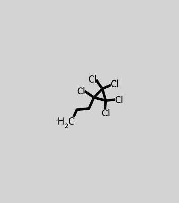 [CH2]CCC1(Cl)C(Cl)(Cl)C1(Cl)Cl